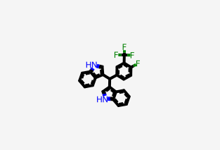 Fc1ccc(C(c2c[nH]c3ccccc23)c2c[nH]c3ccccc23)cc1C(F)(F)F